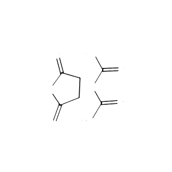 CCCC(=O)OC(=O)CCC.O=C1CCC(=O)O1